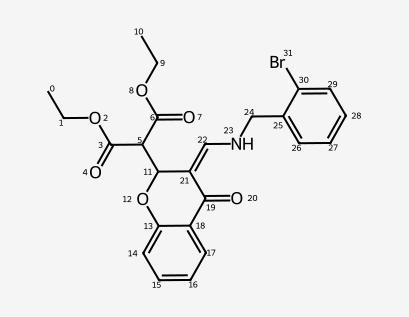 CCOC(=O)C(C(=O)OCC)C1Oc2ccccc2C(=O)/C1=C\NCc1ccccc1Br